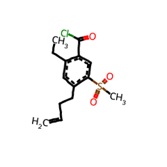 C=CCCc1cc(CC)c(C(=O)Cl)cc1S(C)(=O)=O